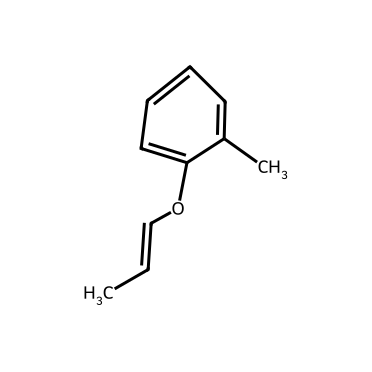 CC=COc1ccccc1C